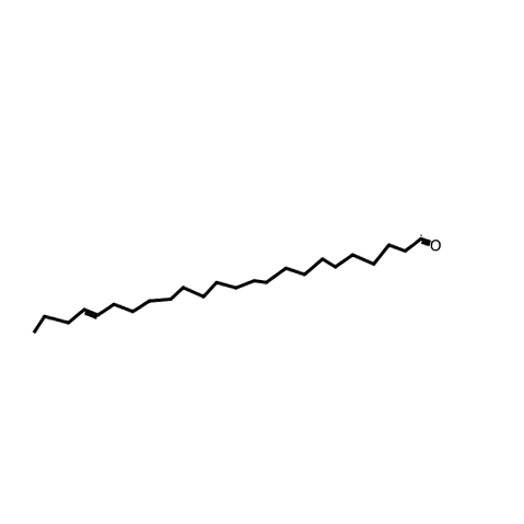 CCCC=CCCCCCCCCCCCCCCCCCC[C]=O